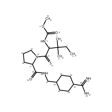 CCC(C)(C)C(NC(=O)OC)C(=S)N1CCCC1C(=O)NCC1CCC(C(=N)N)CC1